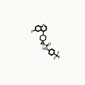 O=C(Nc1ccc(C(F)(F)F)cc1)[C@H]1CC12CCC(c1ccnc3ccc(F)cc13)CC2